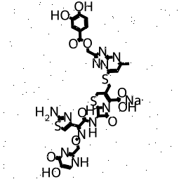 Cc1cc(SCC2=C(C(=O)O)N3C(=O)[C@@H](NC(=O)C(=NOCc4nc(=O)c(O)c[nH]4)c4csc(N)n4)[C@H]3SC2)n2nc(COC(=O)c3ccc(O)c(O)c3)nc2n1.[Na]